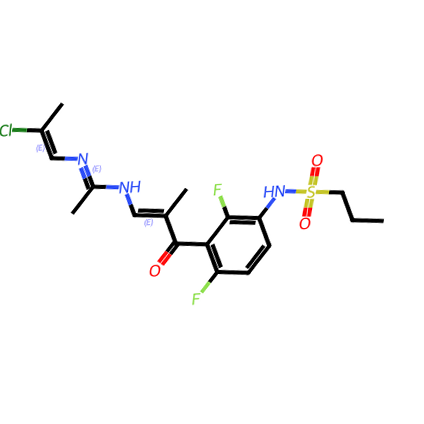 CCCS(=O)(=O)Nc1ccc(F)c(C(=O)/C(C)=C/N/C(C)=N/C=C(\C)Cl)c1F